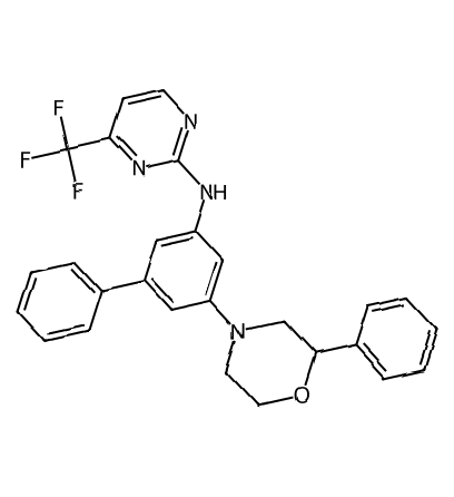 FC(F)(F)c1ccnc(Nc2cc(-c3ccccc3)cc(N3CCOC(c4ccccc4)C3)c2)n1